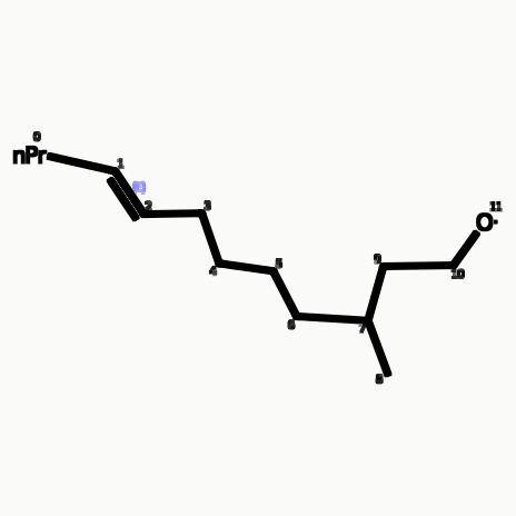 CCC/C=C/CCCCC(C)CC[O]